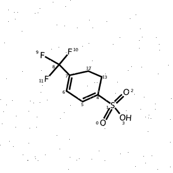 O=S(=O)(O)C1=CC=C(C(F)(F)F)CC1